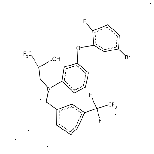 O[C@H](CN(Cc1cccc(C(F)(F)C(F)(F)F)c1)c1cccc(Oc2cc(Br)ccc2F)c1)C(F)(F)F